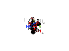 COc1ccc(F)cc1[C@H](Cn1c(=O)n(C2CCNC2=O)c(=O)c2c(C)c(Br)sc21)OCCCC(C)(C)[Si](O)(c1ccccc1)c1ccccc1